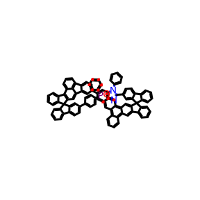 O=P(c1ccccc1)(c1ccccc1)c1ccc(-c2ccc3c(c2)C2(c4ccccc4-3)c3ccccc3-c3c2cc2c4c(cccc34)-c3ccc(-c4ccc5nc(-c6ccc7c(c6)C6(c8ccccc8-7)c7ccccc7-c7cc8c9ccccc9c9ccccc9c8cc76)n(-c6ccccc6)c5c4)cc3-2)cc1